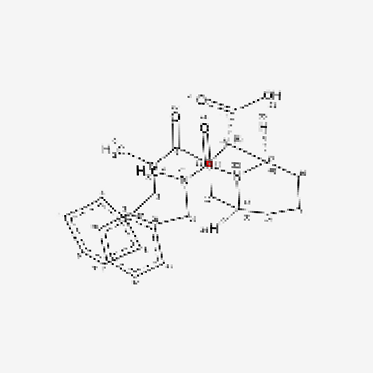 CN(Cc1ccccc1)C(=O)N1C[C@@H]2CCC[C@H]([C@H]1C(=O)O)N2C(=O)N(C)Cc1ccccc1